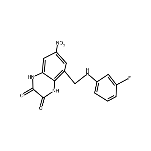 O=c1[nH]c2cc([N+](=O)[O-])cc(CNc3cccc(F)c3)c2[nH]c1=O